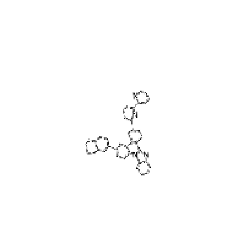 c1ccc(-c2cccc(-c3ccc4c(c3)c3cc(-c5ccc6ccccc6c5)ccc3n3c5ccccc5nc43)n2)nc1